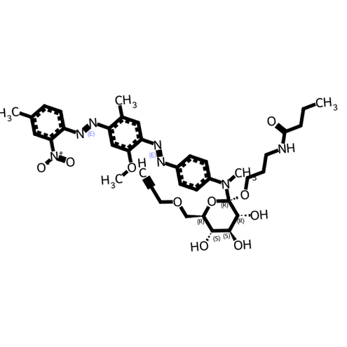 C#CCOC[C@H]1O[C@@](OCCCNC(=O)CCC)(N(C)c2ccc(/N=N/c3cc(C)c(/N=N/c4ccc(C)cc4[N+](=O)[O-])cc3OC)cc2)[C@H](O)[C@@H](O)[C@@H]1O